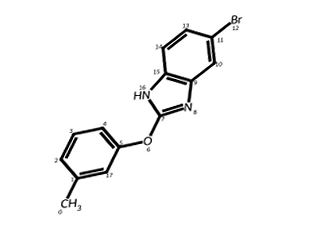 Cc1cccc(Oc2nc3cc(Br)ccc3[nH]2)c1